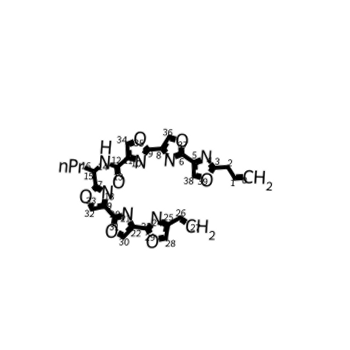 C=CCc1nc(-c2nc(-c3nc(C(=O)NC(CCC)c4nc(-c5nc(-c6nc(C=C)co6)co5)co4)co3)co2)co1